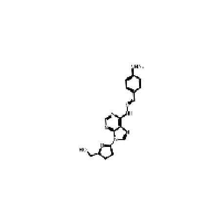 CC(=O)Nc1ccc(/C=N/Nc2ncnc3c2ncn3[C@H]2CC[C@@H](CO)O2)cc1